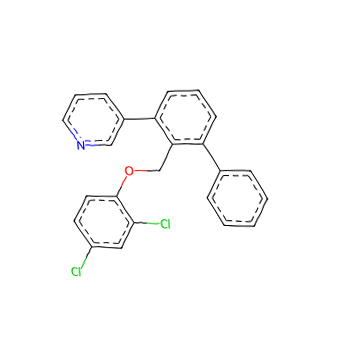 Clc1ccc(OCc2c(-c3ccccc3)cccc2-c2cccnc2)c(Cl)c1